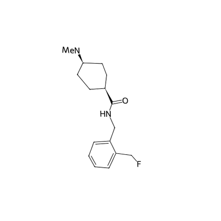 CN[C@H]1CC[C@@H](C(=O)NCc2ccccc2CF)CC1